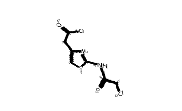 O=C(Cl)Cc1csc(NC(=O)CCl)n1